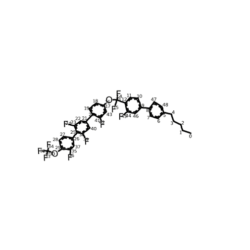 CCCCCc1ccc(-c2ccc(C(F)(F)Oc3ccc(-c4cc(F)c(-c5ccc(OC(F)(F)F)c(F)c5)c(F)c4)c(F)c3)c(F)c2)cc1